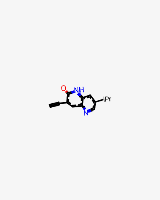 C#Cc1cc2ncc(C(C)C)cc2[nH]c1=O